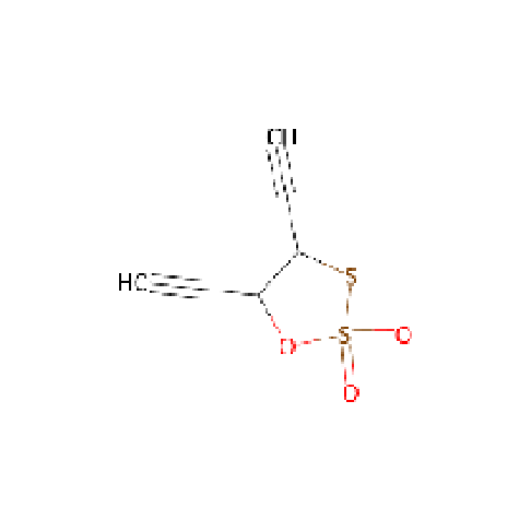 C#CC1OS(=O)(=O)SC1C#C